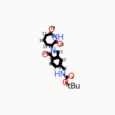 CC(C)(C)OC(=O)NCc1ccc2c(c1)CN([C@H]1CCCC(=O)NC1=O)C2=O